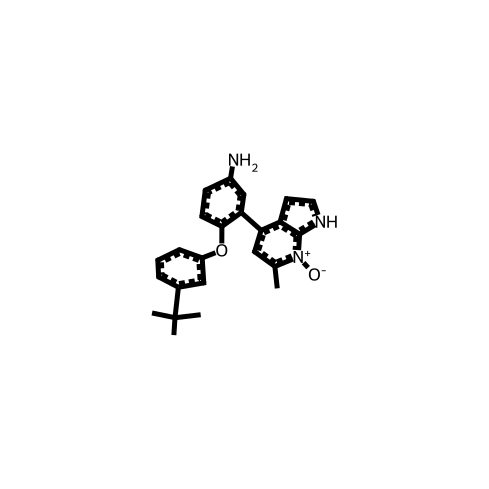 Cc1cc(-c2cc(N)ccc2Oc2cccc(C(C)(C)C)c2)c2cc[nH]c2[n+]1[O-]